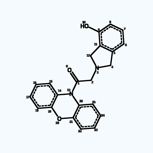 O=C(CN1Cc2cccc(O)c2C1)N1c2ccccc2Oc2ccccc21